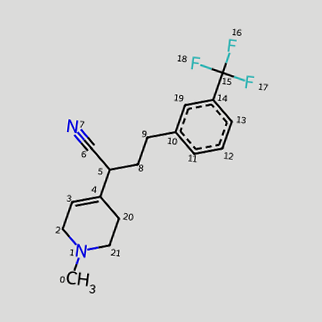 CN1CC=C(C(C#N)CCc2cccc(C(F)(F)F)c2)CC1